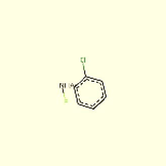 CC(=O)NF.Clc1ccccc1